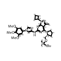 COc1cc(-n2cnc(Nc3nc(N4CCC[C@H]4CO[Si](C)(C)C(C)(C)C)c4c(C)nn(C5CCC5)c4n3)c2)cc(OC)c1OC